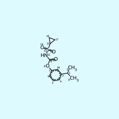 CC(C)c1cccc(OC(=O)NS(=O)(=O)C2CC2)c1